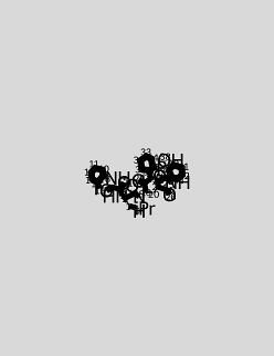 CC(C)C[C@H](NC(=O)C(=O)Nc1ccccc1F)C(=O)N[C@@H](C[C@@H]1CCNC1=O)C(=O)Cc1ccccc1P(=O)(O)c1ccccc1